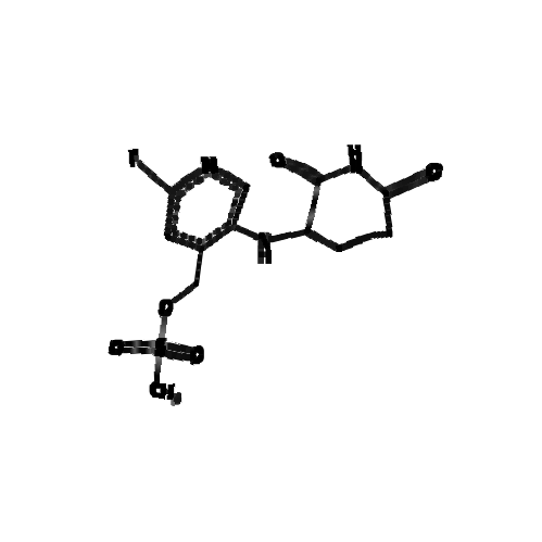 CS(=O)(=O)OCc1cc(F)ncc1NC1CCC(=O)NC1=O